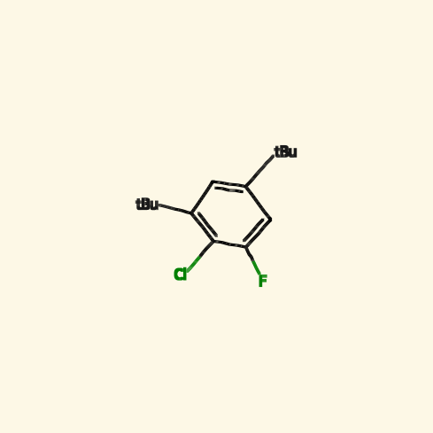 CC(C)(C)c1cc(F)c(Cl)c(C(C)(C)C)c1